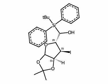 CC1(C)OC2O[C@H](C(O)[Si](c3ccccc3)(c3ccccc3)C(C)(C)C)[C@@H](I)[C@H]2O1